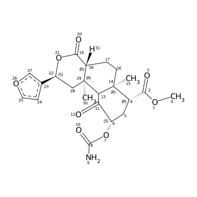 COC(=O)[C@@H]1C[C@H](OC(N)=O)C(=O)C2[C@@]1(C)CC[C@H]1C(=O)O[C@H](c3ccoc3)C[C@]21C